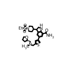 CCS(=O)(=O)N1CCC(C2CNc3c(C(N)=O)cc(-c4csc(CN(C)C[C@H]5CCCO5)c4)cc32)CC1